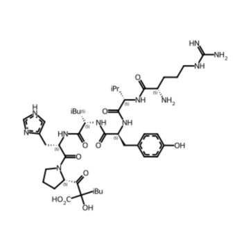 CCC(C)C(O)(C(=O)O)C(=O)[C@@H]1CCCN1C(=O)[C@H](Cc1c[nH]cn1)NC(=O)[C@@H](NC(=O)[C@H](Cc1ccc(O)cc1)NC(=O)[C@@H](NC(=O)[C@@H](N)CCCNC(=N)N)C(C)C)[C@@H](C)CC